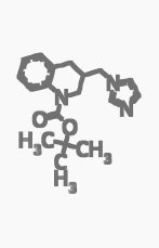 CC(C)(C)OC(=O)N1CC(Cn2ccnc2)Cc2ccccc21